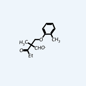 CCC(=O)C(C)([C]=O)COc1ccccc1C